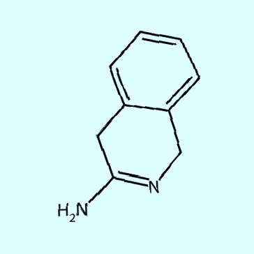 NC1=NCc2ccccc2C1